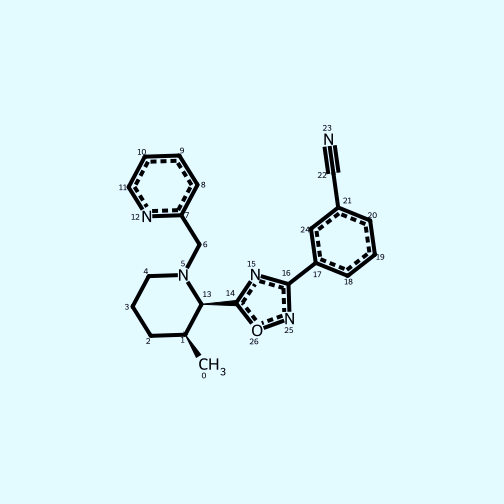 C[C@H]1CCCN(Cc2ccccn2)[C@H]1c1nc(-c2cccc(C#N)c2)no1